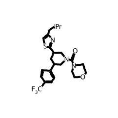 CC(C)Cc1csc(C2CC(c3ccc(C(F)(F)F)cc3)CN(C(=O)N3CCOCC3)C2)n1